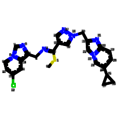 CS/C(=N\Cc1ncn2ccc(Cl)cc12)c1cnn(Cc2cn3cc(C4CC4)ccc3n2)c1